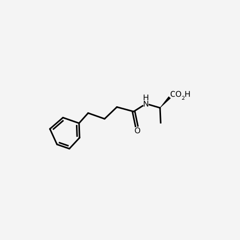 C[C@@H](NC(=O)CCCc1ccccc1)C(=O)O